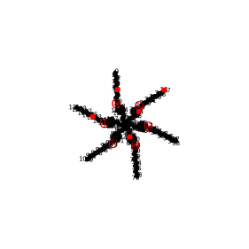 CCCCCCCCCCCOc1ccc(CCc2c(CCc3ccc(OCCCCCCCCCCC)cc3)c(CCc3ccc(OCCCCCCCCCCC)cc3)c(CCc3ccc(OCCCCCCCCCCC)cc3)c(CCc3ccc(OCCCCCCCCCCC)cc3)c2CCc2ccc(OCCCCCCCCCCC)cc2)cc1